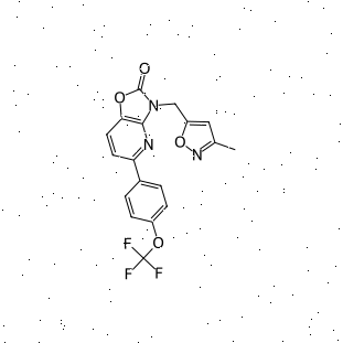 Cc1cc(Cn2c(=O)oc3ccc(-c4ccc(OC(F)(F)F)cc4)nc32)on1